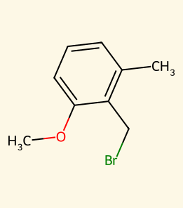 COc1cccc(C)c1CBr